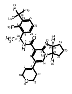 C[C@@H](NC(=O)C1=CC(C2=CCOCC2)=CN2C1=N[C@@H]1CCC[C@@H]12)c1cccc(C(F)(F)F)c1F